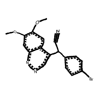 COc1cc2nncc(C(C#N)c3ccc(Br)cc3)c2cc1OC